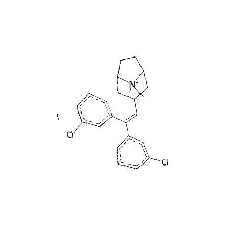 C[N+]1(C)C2CCC1CC(C=C(c1cccc(Cl)c1)c1cccc(Cl)c1)C2.[I-]